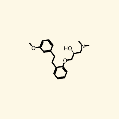 COc1cccc(CCc2ccccc2OC[C@H](O)CN(C)C)c1